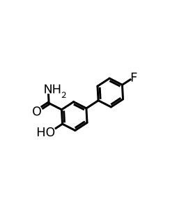 NC(=O)c1cc(-c2ccc(F)cc2)ccc1O